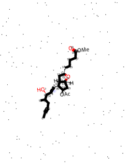 CC#CCC(C)[C@H](O)/C=C/[C@@H]1[C@H]2C[C@H](CCCCC(=O)OC)O[C@H]2C[C@H]1OC(C)=O